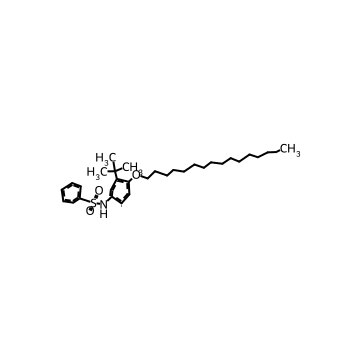 CCCCCCCCCCCCCCCCOc1c[c]c(NS(=O)(=O)c2ccccc2)cc1C(C)(C)C